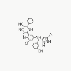 N#CC[C@H](Nc1c(C#N)cnc2c(Cl)cc(NC(C3=CN(C4CC4)NN3)c3cccc(C#N)c3)cc12)c1ccccc1